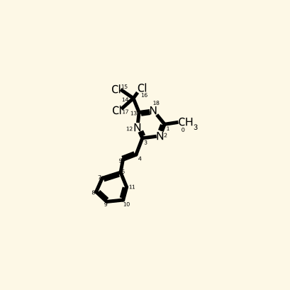 Cc1nc(C=Cc2ccccc2)nc(C(Cl)(Cl)Cl)n1